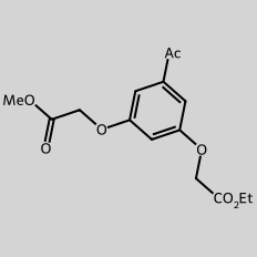 CCOC(=O)COc1cc(OCC(=O)OC)cc(C(C)=O)c1